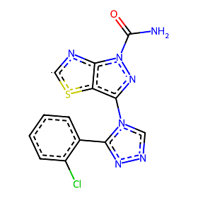 NC(=O)n1nc(-n2cnnc2-c2ccccc2Cl)c2s[c]nc21